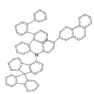 c1ccc(-c2ccccc2-c2ccccc2-c2ccccc2N(c2ccc(-c3ccc4c(ccc5ccccc54)c3)cc2)c2cccc3c2-c2ccccc2C32c3ccccc3-c3ccccc32)cc1